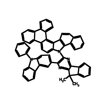 CC1(C)c2ccccc2-c2nc(-n3c4ccc5c6ccccc6c6ccccc6c5c4c4ccc5ccccc5c43)c(-c3ccc4c(c3)c3ccccc3n4-c3ccccc3)nc21